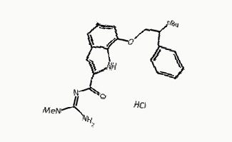 CCCCC(COc1cccc2cc(C(=O)N=C(N)NC)[nH]c12)c1ccccc1.Cl